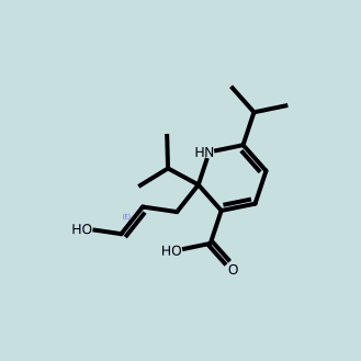 CC(C)C1=CC=C(C(=O)O)C(C/C=C/O)(C(C)C)N1